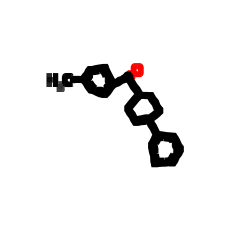 Cc1ccc(C(=O)C2CC=C(c3ccccc3)CC2)cc1